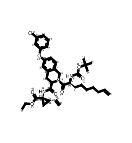 C=CCCCCC[C@H](NC(=O)OC(C)(C)C)C(=O)N1Cc2ccc(Oc3cccc(Cl)c3)cc2CC1C(=O)N[C@]1(C(=O)OCC)C[C@H]1C=C